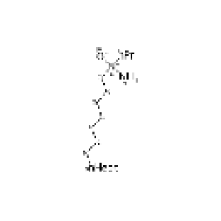 CCCCCCCCCCCCCC[N+](N)([O-])CCC